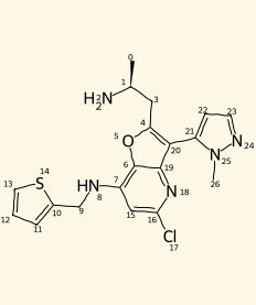 C[C@H](N)Cc1oc2c(NCc3cccs3)cc(Cl)nc2c1-c1ccnn1C